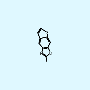 Cc1nc2cc3ccsc3cc2o1